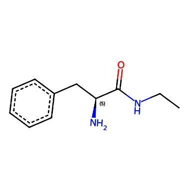 CCNC(=O)[C@@H](N)Cc1ccccc1